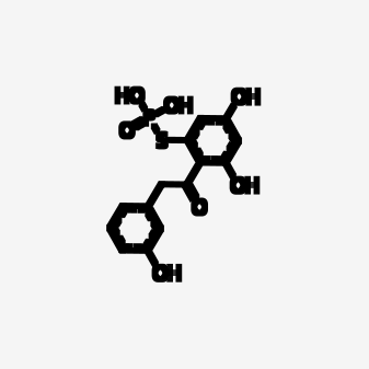 O=C(Cc1cccc(O)c1)c1c(O)cc(O)cc1SP(=O)(O)O